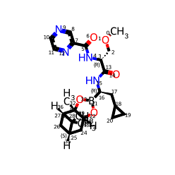 COC[C@@H](NC(=O)c1cnccn1)C(=O)N[C@@H](CC1CC1)B1O[C@@H]2C[C@@H]3C[C@@H](C3(C)C)[C@]2(C)O1